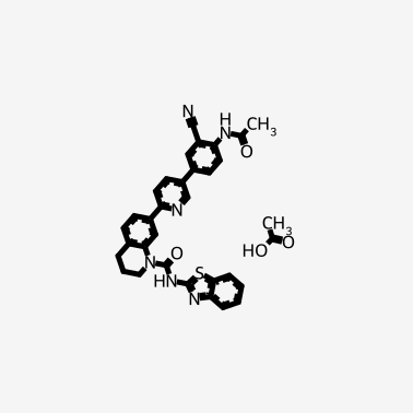 CC(=O)Nc1ccc(-c2ccc(-c3ccc4c(c3)N(C(=O)Nc3nc5ccccc5s3)CCC4)nc2)cc1C#N.CC(=O)O